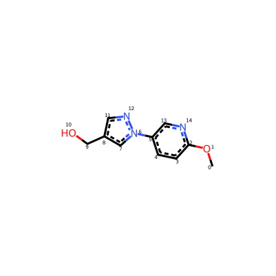 COc1ccc(-n2cc(CO)cn2)cn1